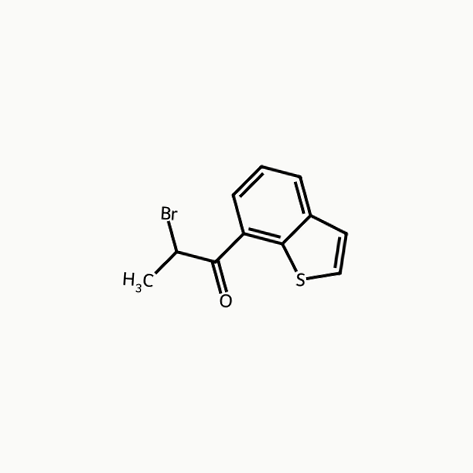 CC(Br)C(=O)c1cccc2ccsc12